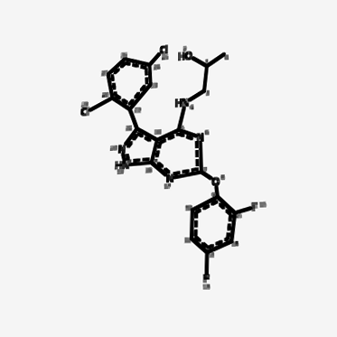 CC(O)CNc1nc(Oc2ccc(F)cc2F)nc2[nH]nc(-c3cc(Cl)ccc3Cl)c12